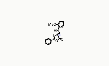 COc1ccccc1N/C=C1\N=C(c2ccccc2)OC1=O